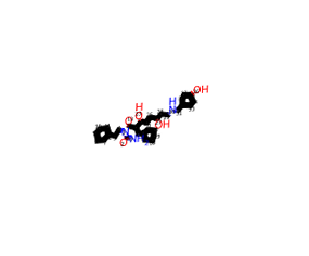 NC(=O)N(CCc1ccccc1)C(=O)C(Cc1ccccc1)C(O)C=CC(O)CCNCc1ccc(O)cc1